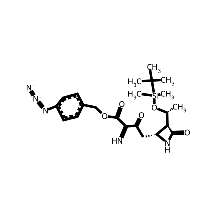 C[C@@H](O[Si](C)(C)C(C)(C)C)[C@H]1C(=O)N[C@@H]1CC(=O)C(=N)C(=O)OCc1ccc(N=[N+]=[N-])cc1